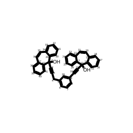 OC1(C#CCc2cccc(C#CC3(O)c4ccccc4C=Cc4ccccc43)c2)c2ccccc2C=Cc2ccccc21